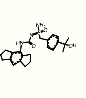 CC(C)(O)c1ccc(CS(N)(=O)=NC(=O)Nc2c3c(cc4c2CCC4)CCC3)cc1